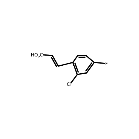 O=C(O)C=Cc1ccc(F)cc1Cl